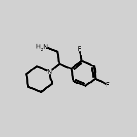 NCC(c1ccc(F)cc1F)N1CCCCC1